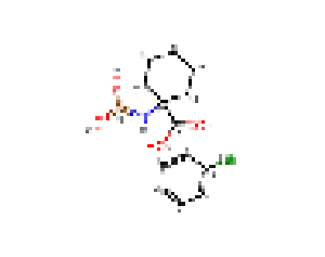 Brc1ccccc1.O=C(O)C1(N=S(=O)=O)CCCCC1